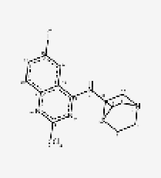 ClC(Cl)(Cl)c1nc(NC2CN3CCC2CC3)c2cc(I)ccc2n1